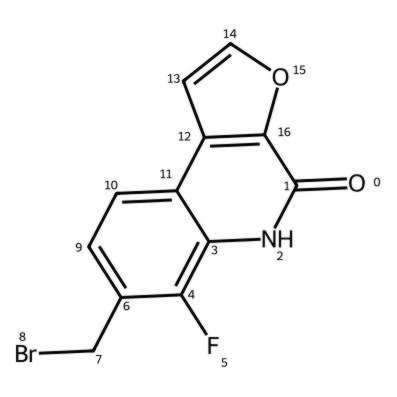 O=c1[nH]c2c(F)c(CBr)ccc2c2ccoc12